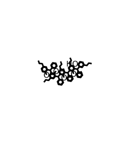 CCCc1ccc(O)c(C(c2ccccc2)c2cc(CCC)cc(C(c3ccccc3)c3cc(CCC)cc(C(c4ccccc4)c4cc(CCC)cc(C(c5ccccc5)c5cc(CCC)ccc5O)c4O)c3O)c2O)c1